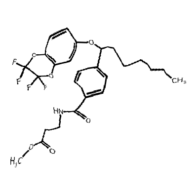 CCCCCCC(Oc1ccc2c(c1)OC(F)(F)C(F)(F)O2)c1ccc(C(=O)NCCC(=O)OC)cc1